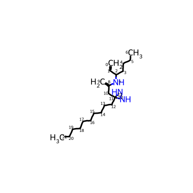 C=CC(CCCC)NC(=C)CC1(CCCCCCCCCC)NN1